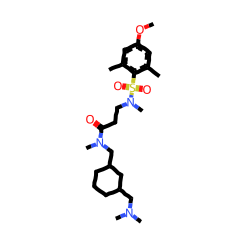 COc1cc(C)c(S(=O)(=O)N(C)CCC(=O)N(C)CC2CCCC(CN(C)C)C2)c(C)c1